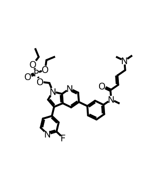 CCOP(=O)(OCC)OCn1cc(-c2ccnc(F)c2)c2cc(-c3cccc(N(C)C(=O)C=CCN(C)C)c3)cnc21